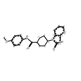 COc1ccc(NC(=O)C2CCC(n3c(=O)[nH]c4ncccc43)CC2)cc1